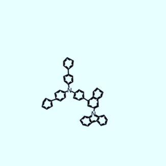 c1ccc(-c2ccc(N(c3ccc(-c4ccccc4)cc3)c3ccc(-c4cc(-n5c6ccccc6c6ccccc65)cc5ccccc45)cc3)cc2)cc1